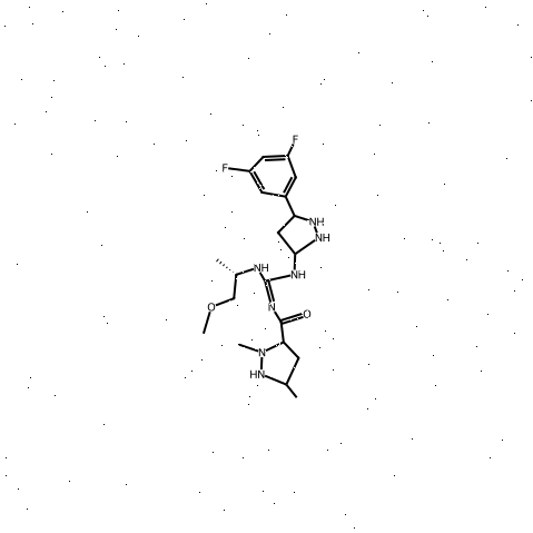 COC[C@H](C)N/C(=N/C(=O)C1CC(C)NN1C)NC1CC(c2cc(F)cc(F)c2)NN1